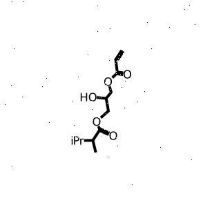 C=CC(=O)OCC(O)COC(=O)C(C)C(C)C